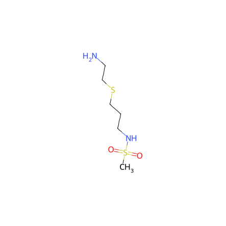 CS(=O)(=O)NCCCSCCN